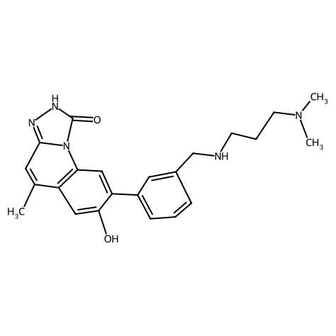 Cc1cc2n[nH]c(=O)n2c2cc(-c3cccc(CNCCCN(C)C)c3)c(O)cc12